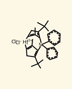 CC1=[C]2CC(C(C)(C)C)=C1[Si](c1ccccc1)(c1ccccc1)C1=C(C(C)(C)C)C[C](=C1C)[Hf+2]2.[Cl-].[Cl-]